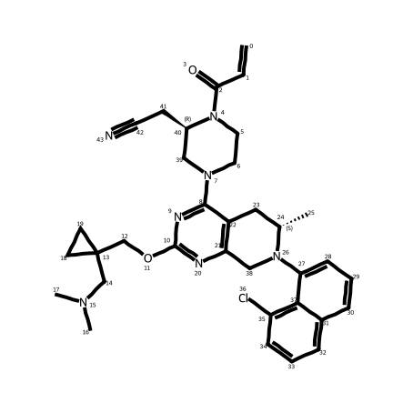 C=CC(=O)N1CCN(c2nc(OCC3(CN(C)C)CC3)nc3c2C[C@H](C)N(c2cccc4cccc(Cl)c24)C3)C[C@H]1CC#N